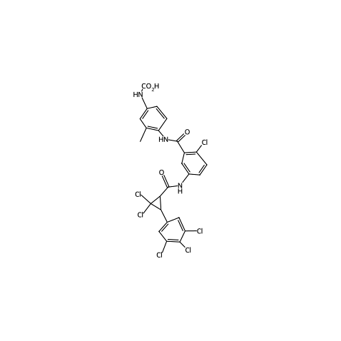 Cc1cc(NC(=O)O)ccc1NC(=O)c1cc(NC(=O)C2C(c3cc(Cl)c(Cl)c(Cl)c3)C2(Cl)Cl)ccc1Cl